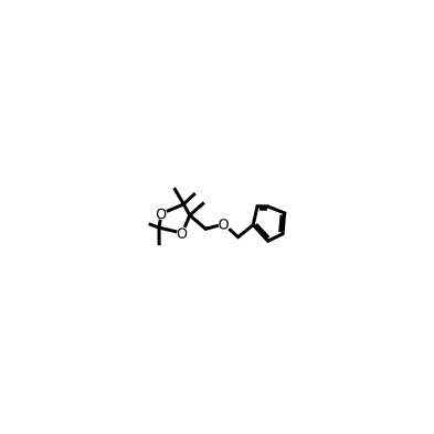 CC1(C)OC(C)(C)C(C)(COCc2ccccc2)O1